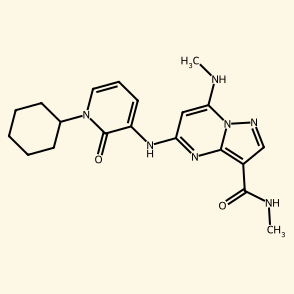 CNC(=O)c1cnn2c(NC)cc(Nc3cccn(C4CCCCC4)c3=O)nc12